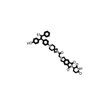 CCC(=C(c1ccc(O)cc1)c1ccc(N2CCC3(CC2)CN(C(=O)CN2Cc4cc5c(cc4C2)C(=O)N(C2CCC(=O)NC2=O)C5=O)C3)cc1)c1ccccc1